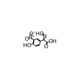 O=C(O)/C(=N/O)c1ccc(O)c([N+](=O)[O-])c1